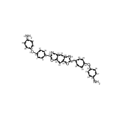 Nc1ccc(Oc2ccc(-c3nc4cc5nc(-c6ccc(Oc7ccc(N)cc7)cc6)oc5cc4o3)cc2)cc1